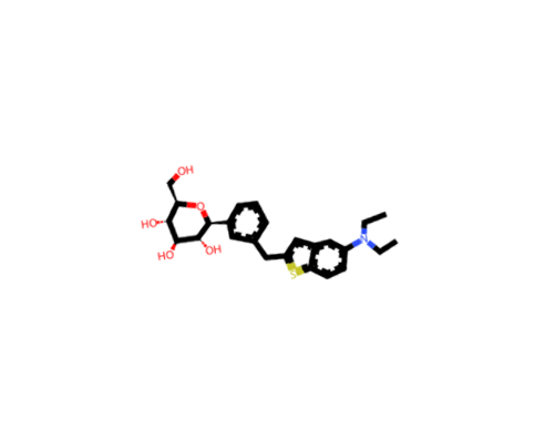 CCN(CC)c1ccc2sc(Cc3cccc([C@@H]4O[C@H](CO)[C@@H](O)[C@H](O)[C@H]4O)c3)cc2c1